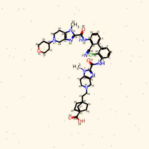 Cn1c(C(=O)Nc2cccc(-c3cccc(NC(=O)c4nc5c(n4C)CCN(C4CCOCC4)C5)c3C#N)c2Cl)nc2c1CCN(CCC13CCC(C(=O)O)(CC1)C3)C2